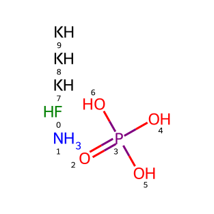 F.N.O=P(O)(O)O.[KH].[KH].[KH]